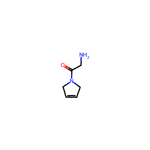 NCC(=O)N1CC=CC1